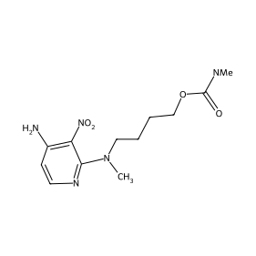 CNC(=O)OCCCCN(C)c1nccc(N)c1[N+](=O)[O-]